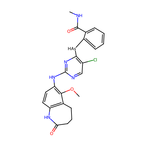 CNC(=O)c1ccccc1[AsH]c1nc(Nc2ccc3c(c2OC)CCCC(=O)N3)ncc1Cl